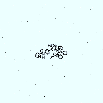 C=CCOC(=O)C(N1C(=O)[C@H]([C@@H](C)O)[C@H]1CC(=O)c1ccc(NC(=O)c2ccccn2)cc1)=P(c1ccccc1)(c1ccccc1)c1ccccc1